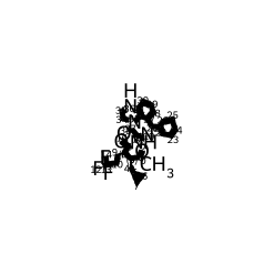 CC(=O)[C@@H](CC1CC1)[C@@H](CCC(F)(F)F)C(=O)N[C@H]1N=C(c2ccccc2)c2cccc3c2N(CCN3)C1=O